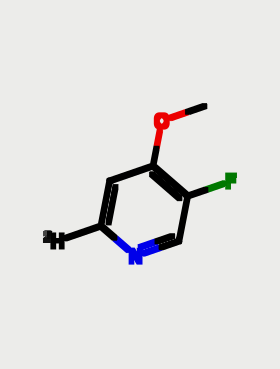 [2H]c1cc(OC)c(F)cn1